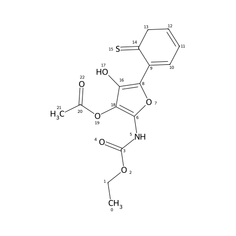 CCOC(=O)Nc1oc(C2=CC=CCC2=S)c(O)c1OC(C)=O